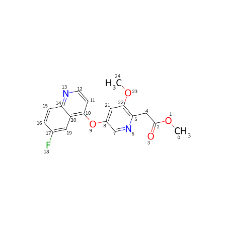 COC(=O)Cc1ncc(Oc2ccnc3ccc(F)cc23)cc1OC